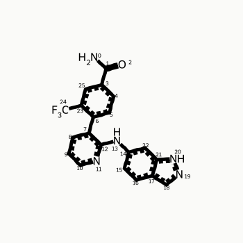 NC(=O)c1ccc(-c2cccnc2Nc2ccc3cn[nH]c3c2)c(C(F)(F)F)c1